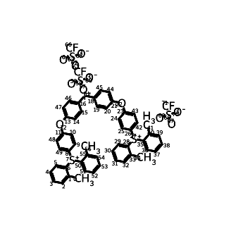 Cc1ccccc1[S+](c1ccc(Oc2ccc([I+]c3ccc(Oc4ccc([S+](c5ccccc5C)c5ccccc5C)cc4)cc3)cc2)cc1)c1ccccc1C.O=S(=O)([O-])C(F)(F)F.O=S(=O)([O-])C(F)(F)F.O=S(=O)([O-])C(F)(F)F